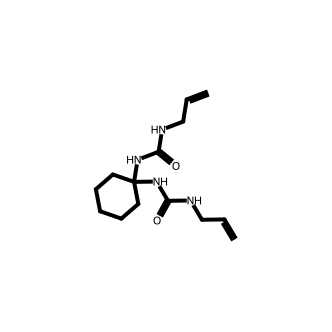 C=CCNC(=O)NC1(NC(=O)NCC=C)CCCCC1